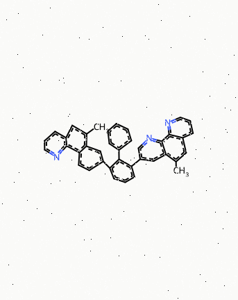 Cc1cc2cccnc2c2ccc(-c3cccc(-c4cnc5c(c4)c(C)cc4cccnc45)c3-c3ccccc3)cc12